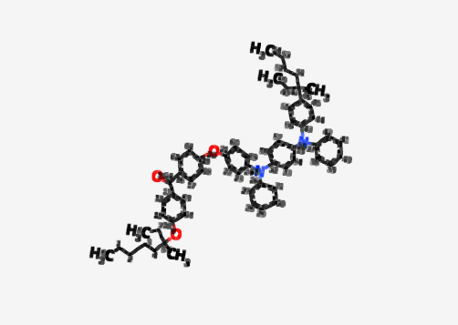 CCCCCC(C)(CC)Oc1ccc(C(=O)c2ccc(Oc3ccc(N(c4ccccc4)c4ccc(N(c5ccccc5)c5ccc(C(C)(CC)CCCC)cc5)cc4)cc3)cc2)cc1